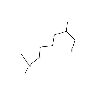 CC(CI)CCCCN(C)C